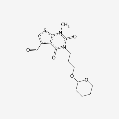 Cn1c(=O)n(CCCOC2CCCCO2)c(=O)c2c(C=O)csc21